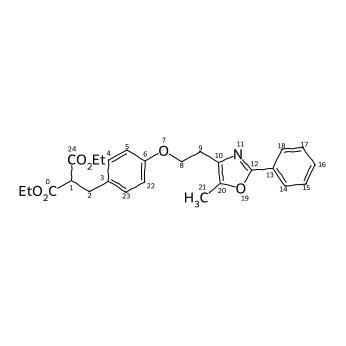 CCOC(=O)C(Cc1ccc(OCCc2nc(-c3ccccc3)oc2C)cc1)C(=O)OCC